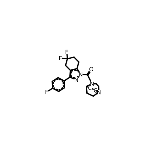 O=C(N1CCN2CCC1CC2)n1nc(-c2ccc(F)cc2)c2c1CCC(F)(F)C2